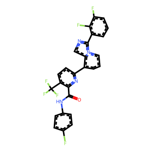 O=C(Nc1ccc(F)cc1)c1nc(-c2cccn3c(-c4cccc(F)c4F)ncc23)ccc1C(F)(F)F